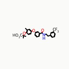 Cc1cc(Oc2cccc(C(=O)NCCc3cccc(C(F)(F)F)c3)c2)ccc1OC(C)(C)C(=O)O